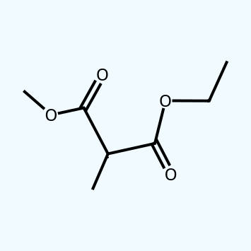 CCOC(=O)[C](C)C(=O)OC